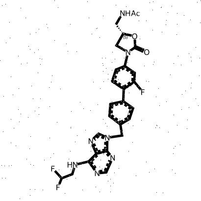 CC(=O)NC[C@H]1CN(c2ccc(-c3ccc(Cn4cnc5c(NCC(F)F)ncnc54)cc3)c(F)c2)C(=O)O1